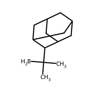 BC(C)(C)C1C2CC3CC(C2)CC1C3